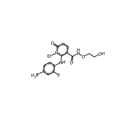 Bc1ccc(Nc2c(C(=O)NOCCO)ccc(=O)n2CC)c(F)c1